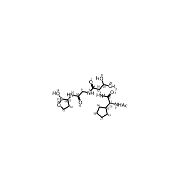 CC(=O)N[C@H](C(=O)N[C@H](C(=O)NCC(=O)N[C@H]1CCOB1O)C(C)O)C1CCCC1